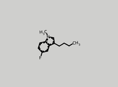 CCCCc1cn(C)c2ccc(F)cc12